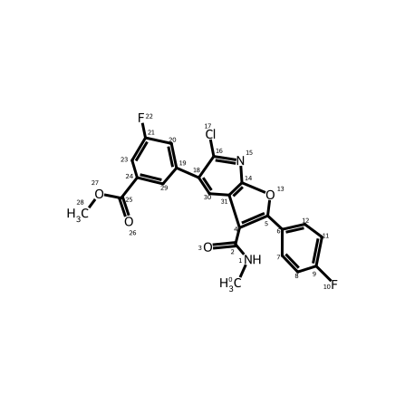 CNC(=O)c1c(-c2ccc(F)cc2)oc2nc(Cl)c(-c3cc(F)cc(C(=O)OC)c3)cc12